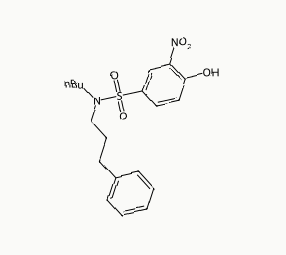 CCCCN(CCCc1ccccc1)S(=O)(=O)c1ccc(O)c([N+](=O)[O-])c1